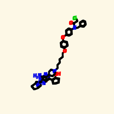 Nc1nnc(-c2ccccc2O)cc1N1CC2CCC(C1)N2c1ncc(C2CCN(CCCCCCOc3ccc(Oc4ccc(N(Cc5ccccc5)C(=O)CCl)cc4)cc3)CC2)cn1